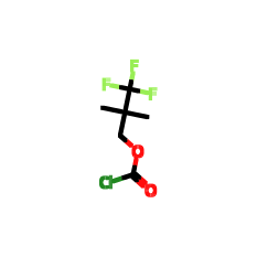 CC(C)(COC(=O)Cl)C(F)(F)F